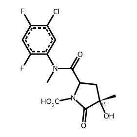 CN(C(=O)C1C[C@](C)(O)C(=O)N1C(=O)O)c1cc(Cl)c(F)cc1F